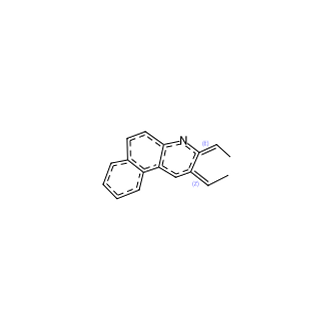 C/C=c1/cc2c(ccc3ccccc32)n/c1=C/C